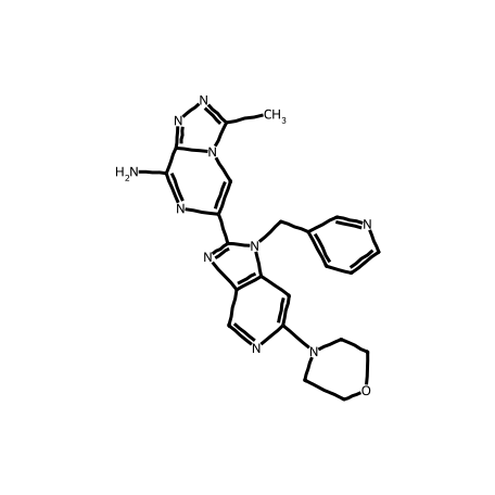 Cc1nnc2c(N)nc(-c3nc4cnc(N5CCOCC5)cc4n3Cc3cccnc3)cn12